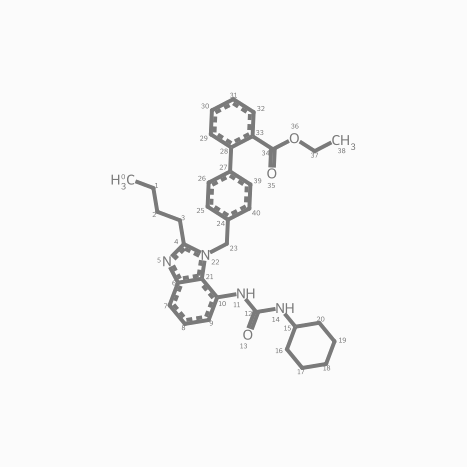 CCCCc1nc2cccc(NC(=O)NC3CCCCC3)c2n1Cc1ccc(-c2ccccc2C(=O)OCC)cc1